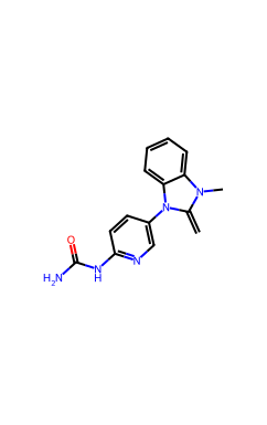 C=C1N(C)c2ccccc2N1c1ccc(NC(N)=O)nc1